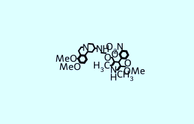 COC(=O)C1=C(C)NC(C)=C(C(=O)OCCNC2CCN3CCc4c(ccc(OC)c4OC)C3C2)C1c1cccc([N+](=O)[O-])c1